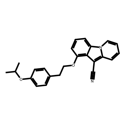 CC(C)Oc1ccc(CCOc2c[c]cc3c2c(C#N)c2ccccn23)cc1